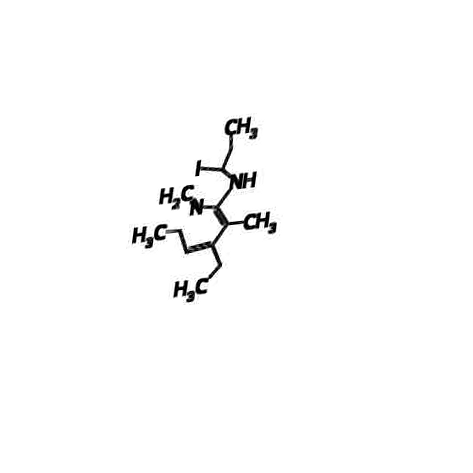 C=N/C(NC(I)CC)=C(C)\C(=C/CC)CC